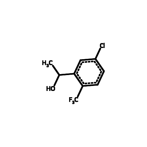 CC(O)c1cc(Cl)ccc1C(F)(F)F